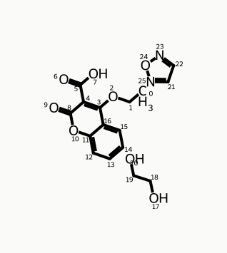 CCOc1c(C(=O)O)c(=O)oc2ccccc12.OCCO.c1cnon1